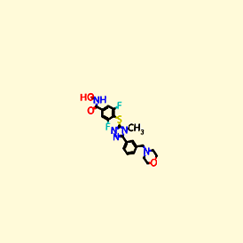 Cn1c(Sc2c(F)cc(C(=O)NO)cc2F)nnc1-c1cccc(CN2CCOCC2)c1